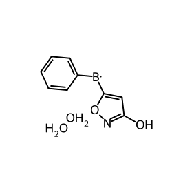 O.O.Oc1cc([B]c2ccccc2)on1